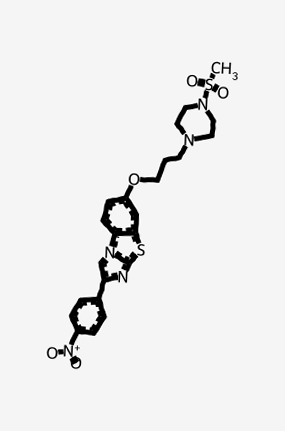 CS(=O)(=O)N1CCN(CCCOc2ccc3c(c2)sc2nc(-c4ccc([N+](=O)[O-])cc4)cn23)CC1